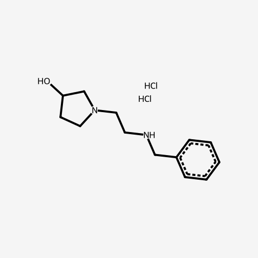 Cl.Cl.OC1CCN(CCNCc2ccccc2)C1